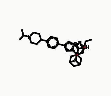 CCNC(=O)N1CC2CC(C1)N2c1ccnn2cc(-c3ccc(C4CCN(C(C)C)CC4)cc3)cc12